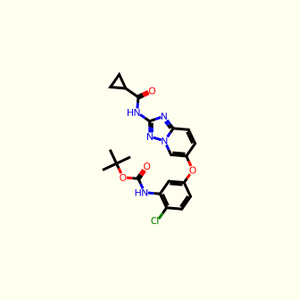 CC(C)(C)OC(=O)Nc1cc(Oc2ccc3nc(NC(=O)C4CC4)nn3c2)ccc1Cl